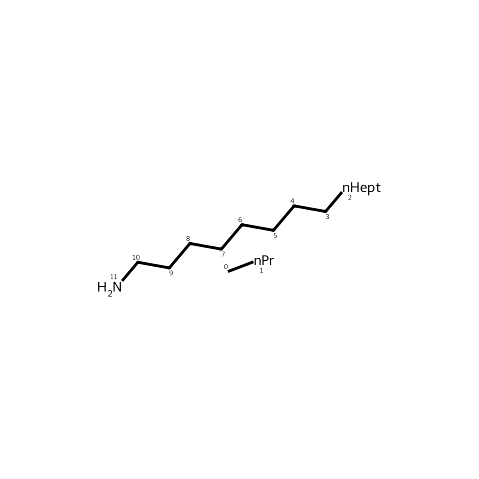 CCCC.CCCCCCCCCCCCCCCN